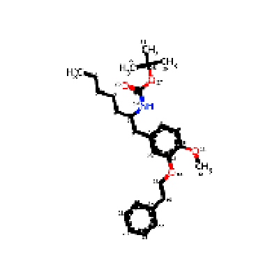 CCCCCC(Cc1ccc(OC)c(OCCc2ccccc2)c1)NC(=O)OC(C)(C)C